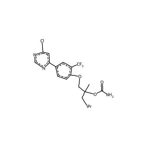 CC(C)CC(C)(COc1ccc(-c2cc(Cl)ncn2)cc1C(F)(F)F)OC(N)=O